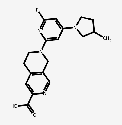 CC1CCN(c2cc(F)nc(N3CCc4cc(C(=O)O)ncc4C3)c2)C1